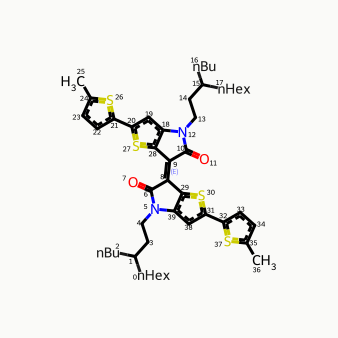 CCCCCCC(CCCC)CCN1C(=O)/C(=C2/C(=O)N(CCC(CCCC)CCCCCC)c3cc(-c4ccc(C)s4)sc32)c2sc(-c3ccc(C)s3)cc21